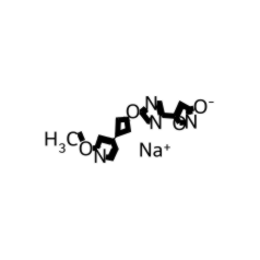 CCOc1cc([C@H]2C[C@H](Oc3cnc(-c4cc([O-])no4)cn3)C2)ccn1.[Na+]